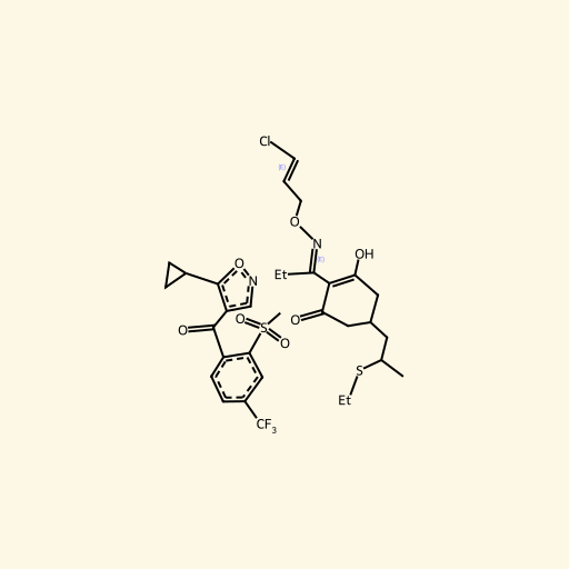 CCSC(C)CC1CC(=O)C(/C(CC)=N/OC/C=C/Cl)=C(O)C1.CS(=O)(=O)c1cc(C(F)(F)F)ccc1C(=O)c1cnoc1C1CC1